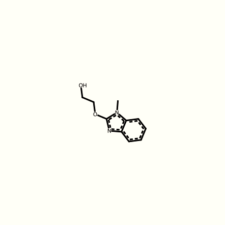 Cn1c(OCCO)nc2ccccc21